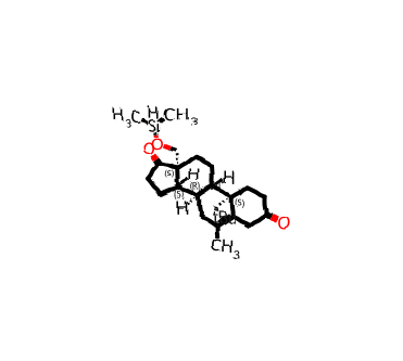 CC1=C2CC(=O)CC[C@]2(CC(C)(C)C)[C@H]2CC[C@]3(CO[SiH](C)C)C(=O)CC[C@H]3[C@@H]2C1